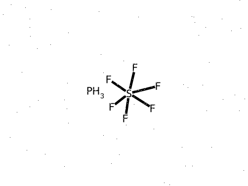 FS(F)(F)(F)(F)F.P